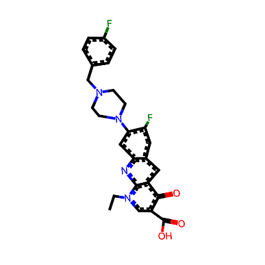 CCn1cc(C(=O)O)c(=O)c2cc3cc(F)c(N4CCN(Cc5ccc(F)cc5)CC4)cc3nc21